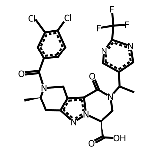 CC(c1cnc(C(F)(F)F)nc1)N1C[C@@H](C(=O)O)n2nc3c(c2C1=O)CN(C(=O)c1ccc(Cl)c(Cl)c1)[C@H](C)C3